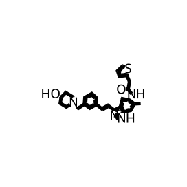 Cc1cc2[nH]nc(C=Cc3cccc(CN4CCC(O)CC4)c3)c2cc1NC(=O)Cc1cccs1